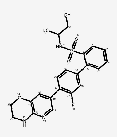 CC(CO)NS(=O)(=O)c1ccccc1-c1ccc(-c2cnc3c(c2)OCCN3)c(F)c1